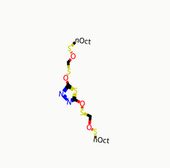 CCCCCCCCSOCSOc1nnc(OSCOSCCCCCCCC)s1